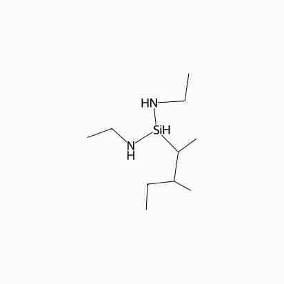 CCN[SiH](NCC)C(C)C(C)CC